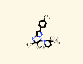 COc1c(C)nc2cc(-c3ccc(C(F)(F)F)cc3)nn2c1N1CCCC(C)(C(=O)O)C1